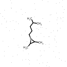 CC(C)CCCN1C(C)C1C